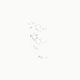 CCS(=O)(=O)c1ccc(Cl)cc1Cn1c(=O)[nH]c2c(Cl)c(CN3CCC[C@H]3CN[S+](C)[O-])c(OC(F)(F)F)cc2c1=O